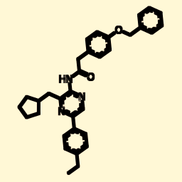 CCc1ccc(-c2cnc(NC(=O)Cc3ccc(OCc4ccccc4)cc3)c(CC3CCCC3)n2)cc1